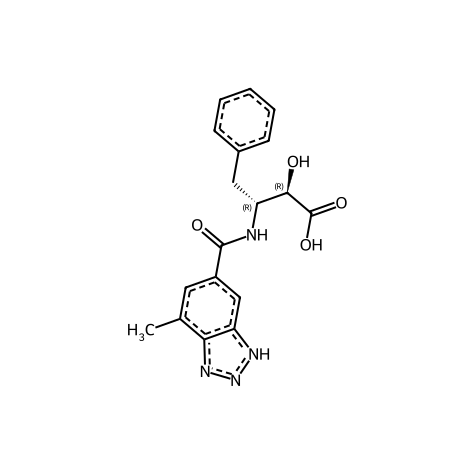 Cc1cc(C(=O)N[C@H](Cc2ccccc2)[C@@H](O)C(=O)O)cc2[nH]nnc12